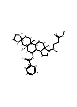 COC(=O)CC[C@@H](C)[C@H]1CCC2C3C(CC[C@@]21C)[C@@]1(C)CCC2(C[C@@H]1C[C@H]3OC(=O)c1ccccc1)OCCO2